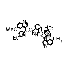 CCC1C[N@@]2CCC1CC2[C@@H](COc1nnc(OC[C@@H](c2ccnc3ccc(C)cc23)[C@H]2C[C@H]3CCN2C[C@@H]3CC)c2ccccc12)c1ccnc2ccc(OC)cc12